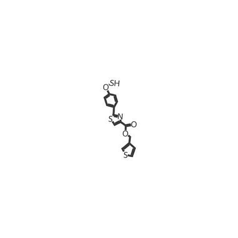 O=C(OCc1ccsc1)c1csc(-c2ccc(OS)cc2)n1